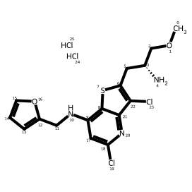 COC[C@H](N)Cc1sc2c(NCc3ccco3)cc(Cl)nc2c1Cl.Cl.Cl